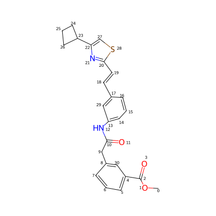 COC(=O)c1cccc(CC(=O)Nc2cccc(C=Cc3nc(C4CCC4)cs3)c2)c1